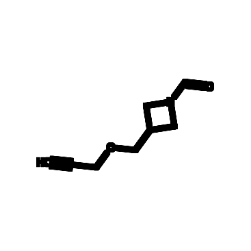 C#CCOCC1CN(C=O)C1